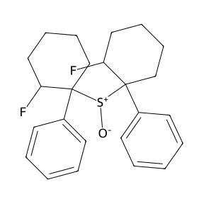 [O-][S+](C1(c2ccccc2)CCCCC1F)C1(c2ccccc2)CCCCC1F